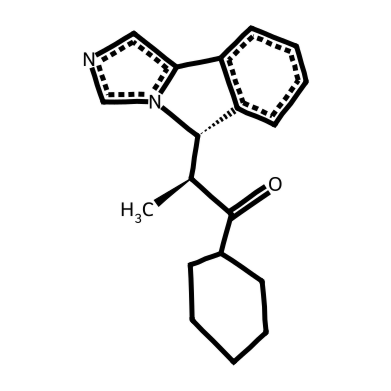 C[C@H](C(=O)C1CCCCC1)[C@H]1c2ccccc2-c2cncn21